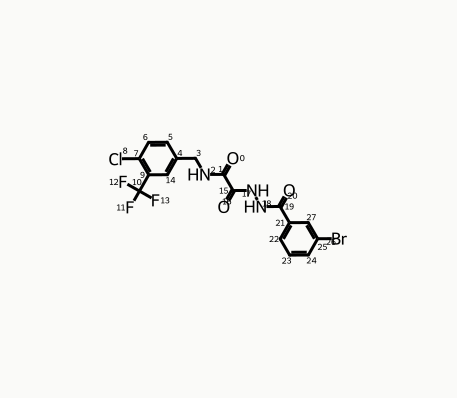 O=C(NCc1ccc(Cl)c(C(F)(F)F)c1)C(=O)NNC(=O)c1cccc(Br)c1